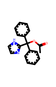 CC(=O)OC(c1ccccc1)(c1ccccc1)c1ncc[nH]1